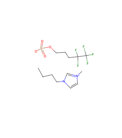 CCCCn1cc[n+](C)c1.O=S(=O)([O-])OCCCC(F)(F)C(F)(F)F